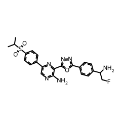 CC(C)S(=O)(=O)c1ccc(-c2cnc(N)c(-c3nnc(-c4ccc(C(N)CF)cc4)o3)n2)cc1